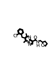 Cc1nc2c(C(=O)NCC3CCCO3)cnn2c(C)c1Cc1ccccc1Cl